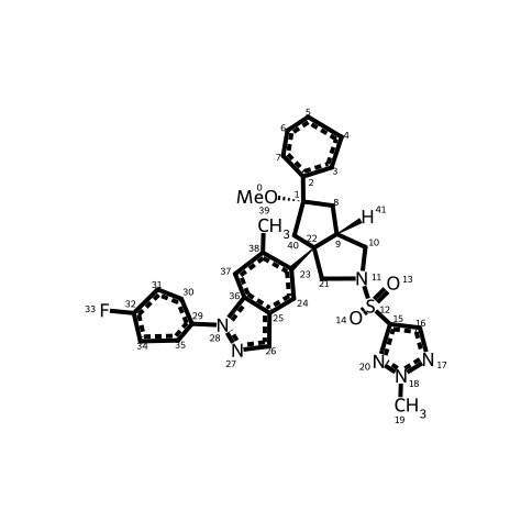 CO[C@]1(c2ccccc2)C[C@@H]2CN(S(=O)(=O)c3cnn(C)n3)C[C@]2(c2cc3cnn(-c4ccc(F)cc4)c3cc2C)C1